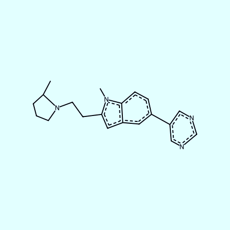 CC1CCCN1CCc1cc2cc(-c3cncnc3)ccc2n1C